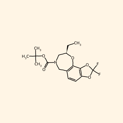 CC[C@@H]1CN(C(=O)OC(C)(C)C)Cc2ccc3c(c2O1)OC(F)(F)O3